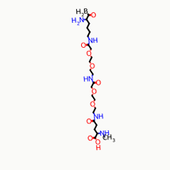 BC(=O)C(N)CCCCNC(=O)COCCOCCNC(=O)COCCOCCNC(=O)CCC(NC)C(=O)O